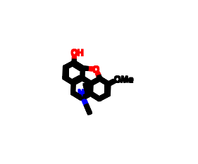 COC1=CCC2C3Cc4ccc(O)c5c4C2(CCN3C)C1O5